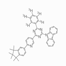 [2H]c1c([2H])c([2H])c(-c2nc(-c3ccc(-c4ccc5c(c4)C(C)(C)C(C)(C)C5(C)C)nc3)nc(-n3c4ccccc4c4ccccc43)n2)c([2H])c1[2H]